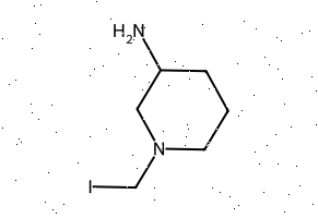 NC1CCCN(CI)C1